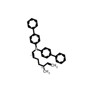 C=C[C@@H](C)CC/C=C\N(c1ccc(-c2ccccc2)cc1)c1ccc(-c2ccccc2)cc1